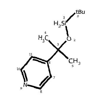 CC(C)(C)[SiH2]OC(C)(C)c1ccncc1